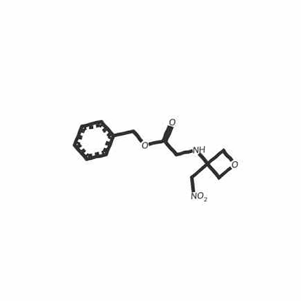 O=C(CNC1(C[N+](=O)[O-])COC1)OCc1ccccc1